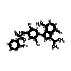 CC(C)n1nc(-c2cc(F)c(NS(=O)(=O)c3ccccc3F)cc2F)c2c(N)ncc(I)c21